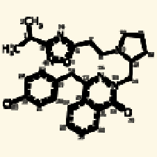 CC(C)c1noc(CCN2CCCC2Cn2nc(Cc3ccc(Cl)cc3)c3ccccc3c2=O)n1